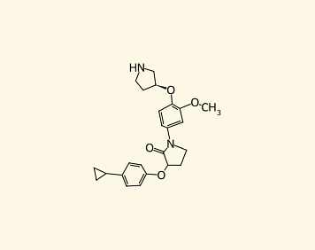 COc1cc(N2CCC(Oc3ccc(C4CC4)cc3)C2=O)ccc1O[C@H]1CCNC1